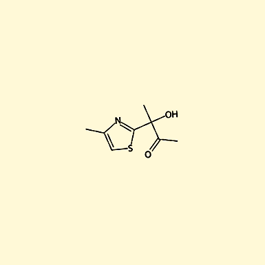 CC(=O)C(C)(O)c1nc(C)cs1